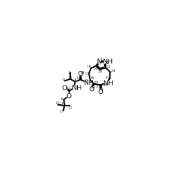 CC(C)C(NC(=O)OCC(C)(C)C)C(=O)NC1CCc2cc([nH]n2)CCNC(=O)C1=O